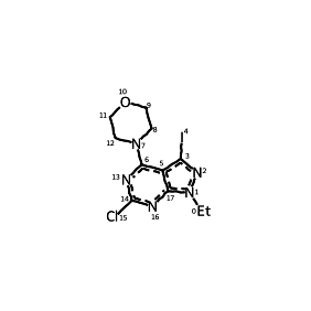 CCn1nc(I)c2c(N3CCOCC3)nc(Cl)nc21